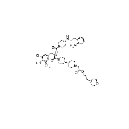 Nc1ccccc1CCNC1CCN(C(=O)O[C@H](Cc2cc(Cl)c(N)c(C(F)(F)F)c2)C(=O)N2CCN(C3CCN(CC(=O)OCCCN4CCOCC4)CC3)CC2)CC1